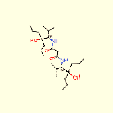 CCCC(O)(CCC)[C@H](NC(=O)CC(=O)N[C@H](C(C)C)C(O)(CCC)CCC)C(C)C